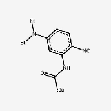 CCN(CC)c1ccc(N=O)c(NC(=O)C(C)(C)C)c1